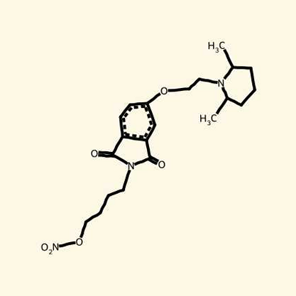 CC1CCCC(C)N1CCOc1ccc2c(c1)C(=O)N(CCCCO[N+](=O)[O-])C2=O